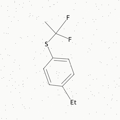 CCc1ccc(SC(C)(F)F)cc1